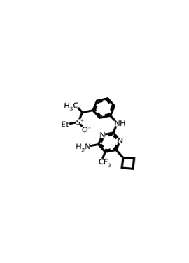 CC[S+]([O-])C(C)c1cccc(Nc2nc(N)c(C(F)(F)F)c(C3CCC3)n2)c1